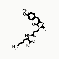 CCCCC(NC(=O)CCN1C(=O)/C(=C\c2ccc(OC)cc2)SC1=S)C(=O)O